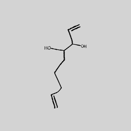 C=CCCCC(O)C(O)C=C